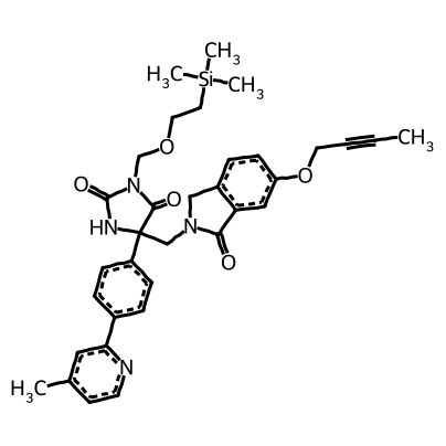 CC#CCOc1ccc2c(c1)C(=O)N(CC1(c3ccc(-c4cc(C)ccn4)cc3)NC(=O)N(COCC[Si](C)(C)C)C1=O)C2